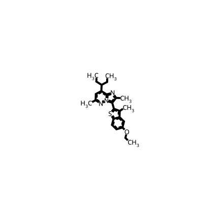 CCOc1ccc2sc(-c3c(C)nc4c(C(CC)CC)cc(C)nn34)c(C)c2c1